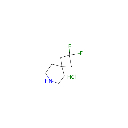 Cl.FC1(F)CC2(CCNCC2)C1